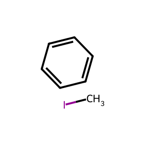 CI.c1ccccc1